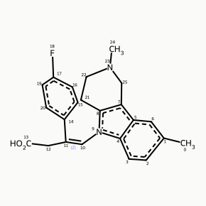 Cc1ccc2c(c1)c1c(n2/C=C(/CC(=O)O)c2ccc(F)cc2)CCN(C)C1